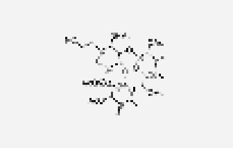 CC(=O)NC1C(O[C@@H]2O[C@@H](COC(C)=O)[C@H](C)C(C)C2OC(C)=O)[C@H](O[C@@H]2OC(C)[C@@H](C)C(OC(C)=O)[C@@H]2OC(C)=O)[C@H](COC(C)=O)O[C@H]1SCC#N